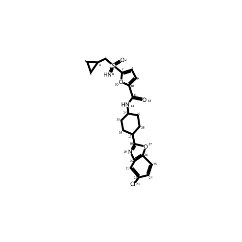 N=S(=O)(CC1CC1)c1ccc(C(=O)NC2CCC(c3nc4cc(Cl)ccc4o3)CC2)o1